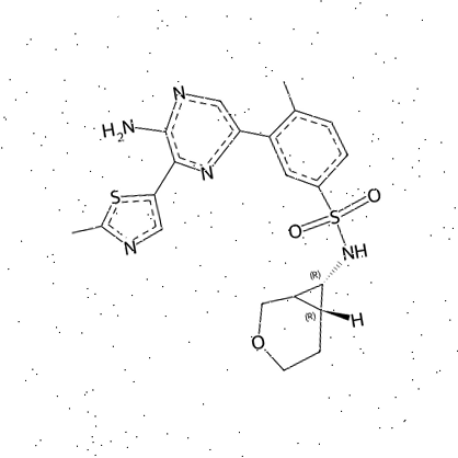 Cc1ncc(-c2nc(-c3cc(S(=O)(=O)N[C@H]4C5COCC[C@H]54)ccc3C)cnc2N)s1